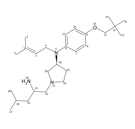 CC(C)=CCN(c1ccc(OCC(C)(C)C)cc1)[C@H]1CCN(CC(N)CC(C)C)C1